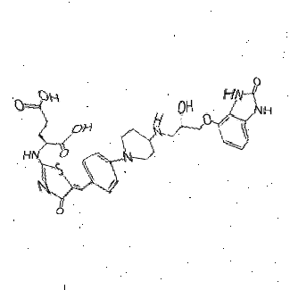 O=C(O)CC[C@H](NC1=NC(=O)C(=Cc2ccc(N3CCC(NC[C@H](O)COc4cccc5[nH]c(=O)[nH]c45)CC3)cc2)S1)C(=O)O